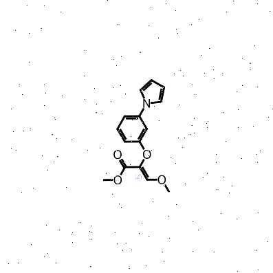 CO/C=C(\Oc1cccc(-n2cccc2)c1)C(=O)OC